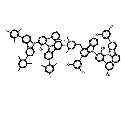 Cc1cc(C)c(-c2ccc3c(c2)c2cc(-c4c(C)cc(C)cc4C)ccc2n3-c2ccc(-c3cccc(C#N)c3)c(-n3c4ccc(-c5c(C)cc(C)cc5C)cc4c4cc(-c5c(C)cc(Cc6cc(-c7cc(C(F)(F)F)cc(C(F)(F)F)c7)cc7c6c6ccccc6n7-c6ccc(-c7cccc(C#N)c7)c(-n7c8ccccc8c8ccc(-c9cc(C(F)(F)F)cc(C(F)(F)F)c9)cc87)c6C#N)cc5C)ccc43)c2C#N)c(C)c1